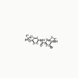 O=C(Nc1ccc(OC(F)(F)Cl)cc1)c1cc(Br)c2c(c1)CCN2